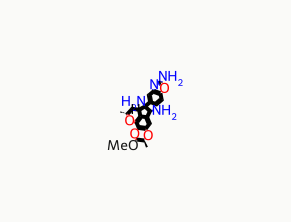 COC(=O)[C@H](C)Oc1cc2c3c(c1)[C@H](N)[C@](N)(c1ccc4oc(N)nc4c1)[C@H]3C[C@@H](C)O2